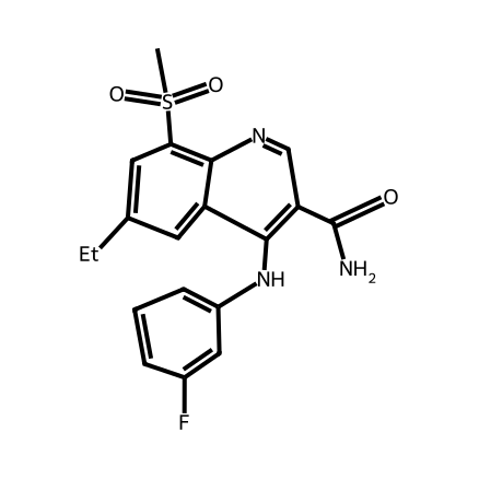 CCc1cc(S(C)(=O)=O)c2ncc(C(N)=O)c(Nc3cccc(F)c3)c2c1